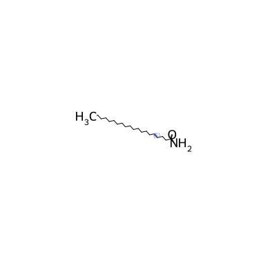 CCCCCCCCCCCCCCC/C=C/CCC(N)=O